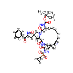 CC(C)(C)OC(=O)N[C@H]1CCCCC/C=C\[C@@H]2C[C@@]2(C(=O)NS(=O)(=O)C2CC2)NC(=O)[C@@H]2C[C@]3(CC(C(=O)c4ccccc4)=NO3)CN2C1=O